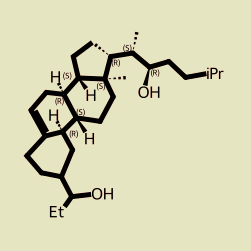 CCC(O)C1CCC2=CC[C@@H]3[C@H](CC[C@]4(C)[C@@H]([C@H](C)[C@H](O)CCC(C)C)CC[C@@H]34)[C@H]2C1